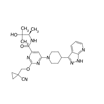 C[C@@H](NC(=O)c1cc(N2CCC(c3n[nH]c4ncccc34)CC2)nc(OCC2(C#N)CC2)n1)C(C)(C)O